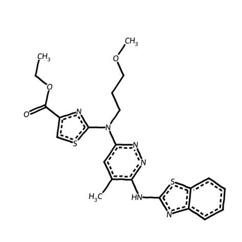 CCOC(=O)c1csc(N(CCCOC)c2cc(C)c(Nc3nc4ccccc4s3)nn2)n1